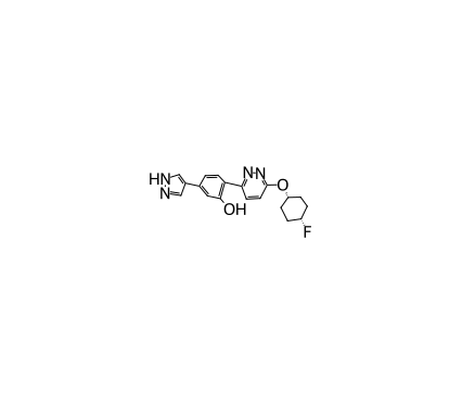 Oc1cc(-c2cn[nH]c2)ccc1-c1ccc(O[C@H]2CC[C@@H](F)CC2)nn1